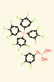 Fc1cc([B-](c2cc(F)c(F)c(F)c2)(c2cc(F)c(F)c(F)c2)c2cc(F)c(F)c(F)c2)cc(F)c1F.OB(O)Oc1cc(F)c(F)c(F)c1